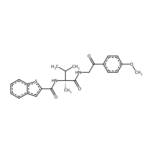 COc1ccc(C(=O)CNC(=O)[C@@](C)(NC(=O)c2cc3ccccc3s2)C(C)C)cc1